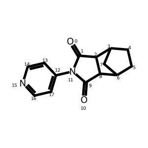 O=C1C2C3CCC(C3)C2C(=O)N1c1ccncc1